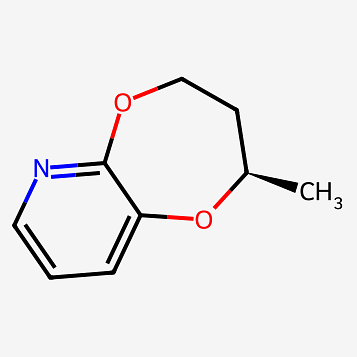 C[C@@H]1CCOc2ncccc2O1